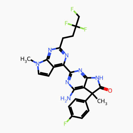 Cn1ccc2c(-c3nc(N)c4c(n3)NC(=O)C4(C)c3ccc(F)cc3)nc(CCC(F)(F)CF)nc21